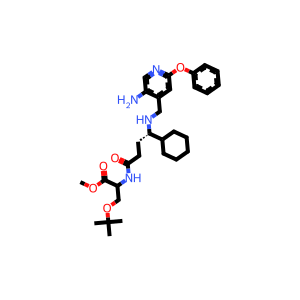 COC(=O)C(COC(C)(C)C)NC(=O)CC[C@H](NCc1cc(Oc2ccccc2)ncc1N)C1CCCCC1